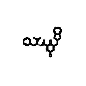 CN(C[C@H](Cc1ccccc1)N(C)C)c1nc(=O)cc(CC2Cc3ccccc3C2)[nH]1